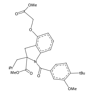 COC(=O)COc1cccc2c1CC(CC(C)C)(C(=O)OC)N2C(=O)c1ccc(C(C)(C)C)c(OC)c1